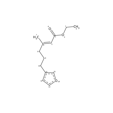 CCOC(=O)C=C(C)CCCc1ccoc1